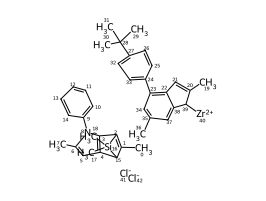 CC1=C2c3c(cc(C)n3-c3ccccc3)C1[Si]2(C)C.CC1=Cc2c(-c3ccc(C(C)(C)C)cc3)cc(C)cc2[CH]1[Zr+2].[Cl-].[Cl-]